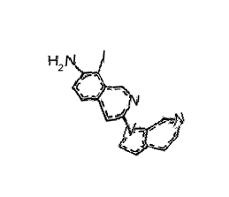 Nc1ccc2cc(-n3ccc4ccncc43)ncc2c1I